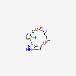 C[C@@H]1CCNC(=O)OCc2cccc(c2F)-c2n[nH]c3ccc(cc23)O1